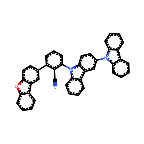 N#Cc1c(-c2ccc3oc4ccccc4c3c2)cccc1-n1c2ccccc2c2cc(-n3c4ccccc4c4ccccc43)ccc21